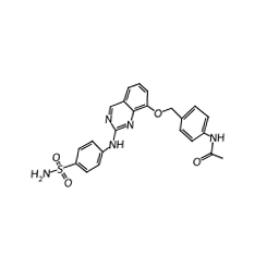 CC(=O)Nc1ccc(COc2cccc3cnc(Nc4ccc(S(N)(=O)=O)cc4)nc23)cc1